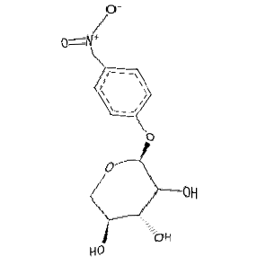 O=[N+]([O-])c1ccc(O[C@@H]2OC[C@H](O)[C@@H](O)C2O)cc1